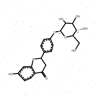 O=C1CC(c2ccc(O[C@@H]3OC(CO)[C@@H](O)C(O)C3O)cc2)Oc2cc(O)ccc21